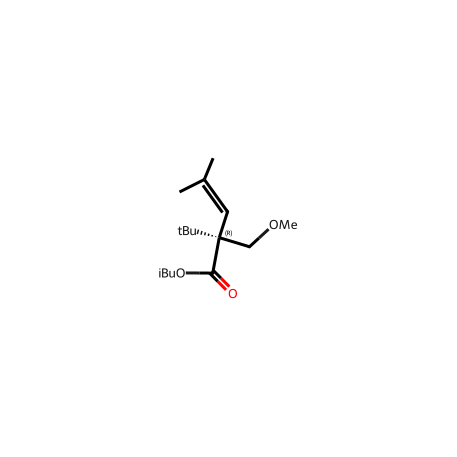 COC[C@](C=C(C)C)(C(=O)OCC(C)C)C(C)(C)C